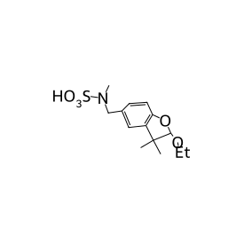 CCOC1Oc2ccc(CN(C)S(=O)(=O)O)cc2C1(C)C